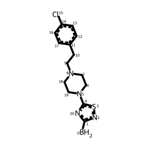 Bc1nsc(N2CCN(CCc3ccc(Cl)cc3)CC2)n1